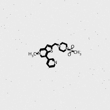 CN1C=c2cc(CN3CCN(S(C)(=O)=O)CC3)sc2=C(c2cccnc2)C1